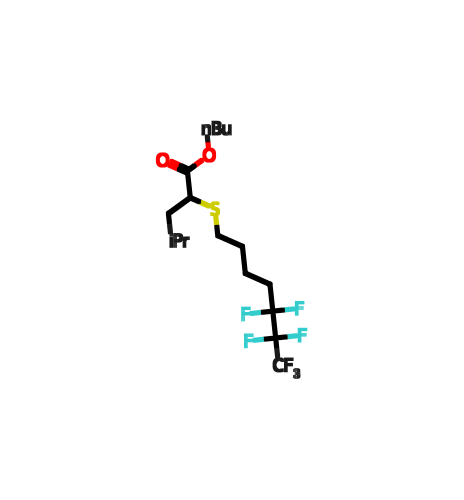 CCCCOC(=O)C(CC(C)C)SCCCCC(F)(F)C(F)(F)C(F)(F)F